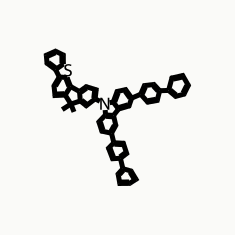 CC1(C)c2cc(-n3c4ccc(-c5ccc(-c6ccccc6)cc5)cc4c4cc(-c5ccc(-c6ccccc6)cc5)ccc43)ccc2-c2c1ccc1c2sc2ccccc21